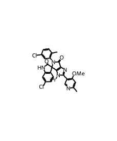 COc1cc(C)ncc1-c1nc2c(n1C(C)C)C1(C(=O)Nc3cc(Cl)ccc31)N(c1cc(Cl)ccc1C)C2=O